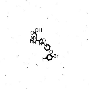 O=C(O)Cn1nnnc1C1COC(N2CCC(Oc3cc(F)ccc3Br)CC2)=N1